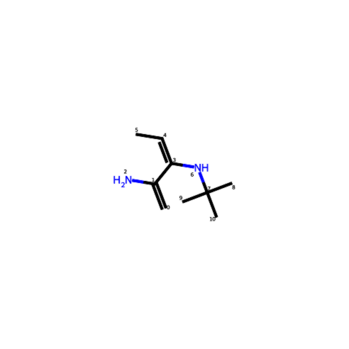 C=C(N)/C(=C\C)NC(C)(C)C